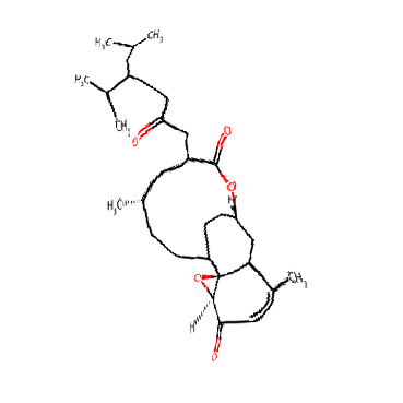 CC1=CC(=O)[C@H]2O[C@]23C2CC[C@H](C)CC(CC(=O)CC(C(C)C)C(C)C)C(=O)O[C@@H](C2)CC13